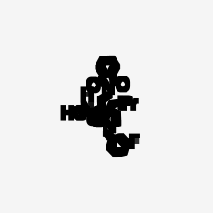 CC(C)CC1(C(CCN2C(=O)c3ccccc3C2=O)C(=O)NO)CCN(Cc2cccc(F)c2)C1=O